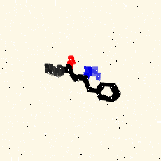 COC(=O)C=C(N)Cc1ccccc1